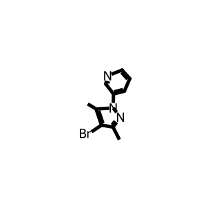 Cc1nn(-c2cccnc2)c(C)c1Br